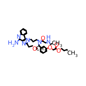 CCCCOC(=O)COc1cccc(CN(CCCn2c(CCOC)nc3c(N)nc4ccccc4c32)C(=O)CNCC)c1